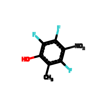 Cc1c(O)c(F)c(F)c([N+](=O)[O-])c1F